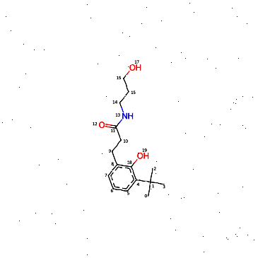 CC(C)(C)c1cccc(CCC(=O)NCCCO)c1O